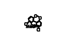 COc1c(Cl)ccc2c1-c1c(ccc(Cl)c1OC)OCO2